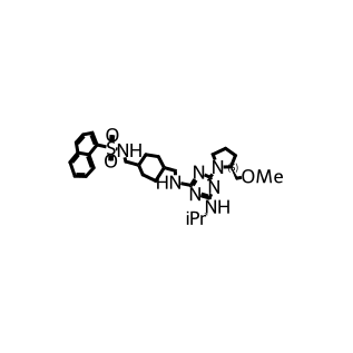 COC[C@@H]1CCCN1c1nc(NCC2CCC(CNS(=O)(=O)c3cccc4ccccc34)CC2)nc(NC(C)C)n1